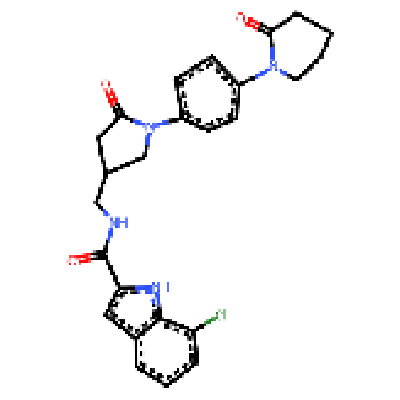 O=C(NCC1CC(=O)N(c2ccc(N3CCCCC3=O)cc2)C1)c1cc2cccc(Cl)c2[nH]1